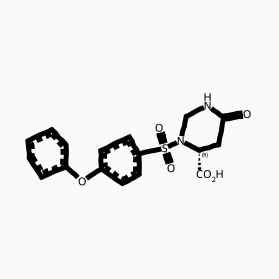 O=C1C[C@H](C(=O)O)N(S(=O)(=O)c2ccc(Oc3ccccc3)cc2)CN1